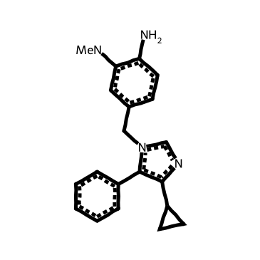 CNc1cc(Cn2cnc(C3CC3)c2-c2ccccc2)ccc1N